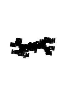 Cc1c(COc2nc(OCc3cc(C#N)cc(C#N)c3)c(CN[C@@H](CO)C(=O)O)cc2Cl)cccc1-c1cccc(COc2nc(OCc3cc(C#N)cc(C#N)c3)c(CN[C@@H](CO)C(=O)O)cc2Cl)c1C